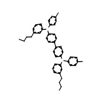 CCCCc1cccc(N(c2ccc(C)cc2)c2ccc(-c3ccc(N(c4ccc(C)cc4)c4cccc(CCCC)c4)cc3)cc2)c1